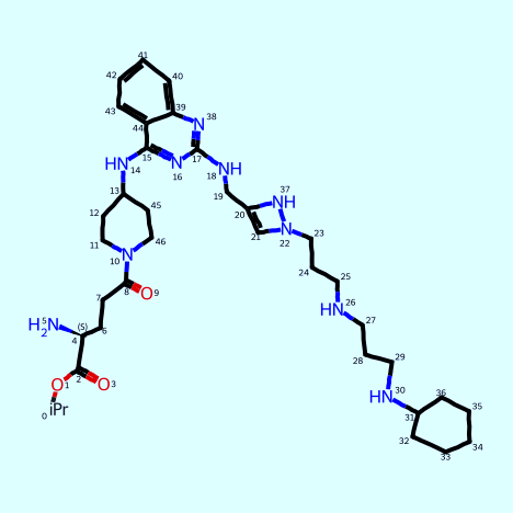 CC(C)OC(=O)[C@@H](N)CCC(=O)N1CCC(Nc2nc(NCc3cn(CCCNCCCNC4CCCCC4)[nH]3)nc3ccccc23)CC1